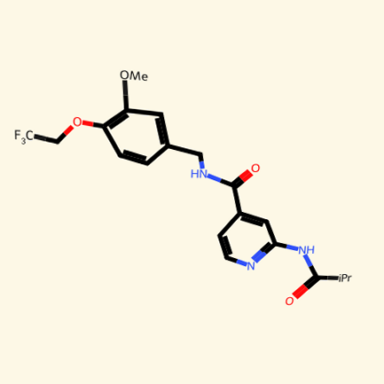 COc1cc(CNC(=O)c2ccnc(NC(=O)C(C)C)c2)ccc1OCC(F)(F)F